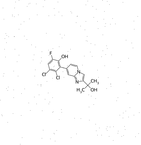 CC(C)(O)c1cn2ccc(-c3c(O)c(F)cc(Cl)c3Cl)cc2n1